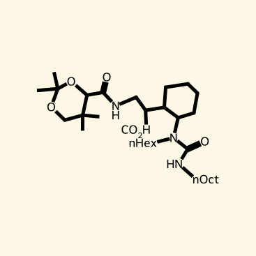 CCCCCCCCNC(=O)N(CCCCCC)C1CCCCC1C(CNC(=O)C1OC(C)(C)OCC1(C)C)C(=O)O